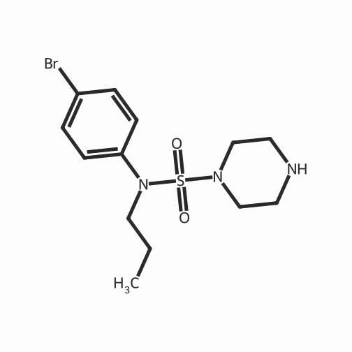 CCCN(c1ccc(Br)cc1)S(=O)(=O)N1CCNCC1